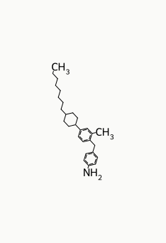 CCCCCCCCC1CCC(c2ccc(Cc3ccc(N)cc3)c(C)c2)CC1